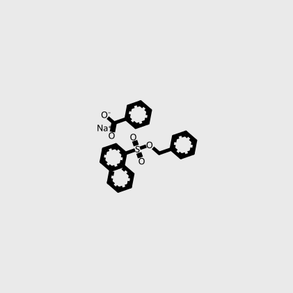 O=C([O-])c1ccccc1.O=S(=O)(OCc1ccccc1)c1cccc2ccccc12.[Na+]